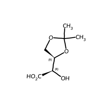 CC1(C)OC[C@H]([C@@H](O)C(=O)O)O1